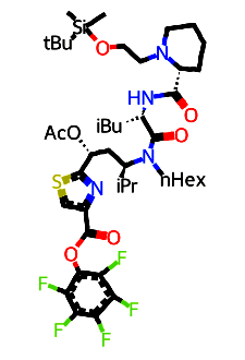 CCCCCCN(C(=O)[C@@H](NC(=O)[C@H]1CCCCN1CCO[Si](C)(C)C(C)(C)C)[C@@H](C)CC)[C@H](C[C@@H](OC(C)=O)c1nc(C(=O)Oc2c(F)c(F)c(F)c(F)c2F)cs1)C(C)C